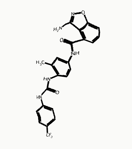 Cc1cc(NC(=O)c2cccc3onc(N)c23)ccc1NC(=O)Nc1ccc(C(F)(F)F)cc1